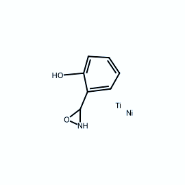 Oc1ccccc1C1NO1.[Ni].[Ti]